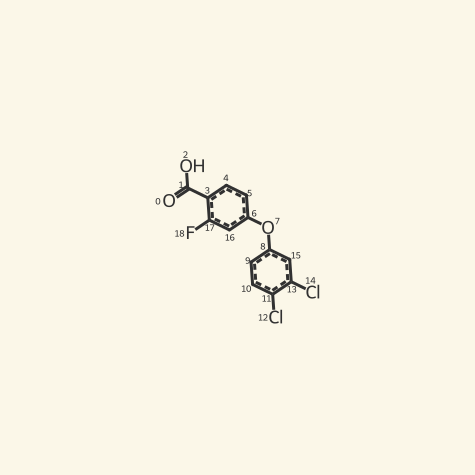 O=C(O)c1ccc(Oc2ccc(Cl)c(Cl)c2)cc1F